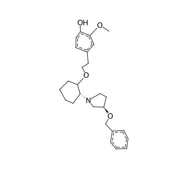 COc1cc(CCOC2CCCC[C@H]2N2CC[C@@H](OCc3ccccc3)C2)ccc1O